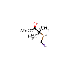 COC(=O)C(C)(C)SCI